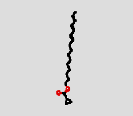 CC=CC=CC=CCCCCCCCCCOC(=O)C1CC1